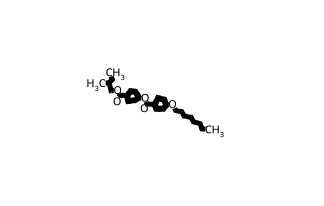 CCCCCCCCOc1ccc(C(=O)Oc2ccc(C(=O)OCC(C)CC)cc2)cc1